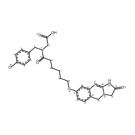 O=C(O)CN(Cc1ccc(Cl)cc1)C(=O)CCCCCOc1ccc2c(c1)N=C1NC(=O)CN1C2